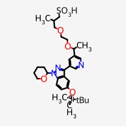 CC(COCCOC(C)c1cncc(-c2nn(C3CCCCO3)c3ccc(O[Si](C)(C)C(C)(C)C)cc23)c1)CS(=O)(=O)O